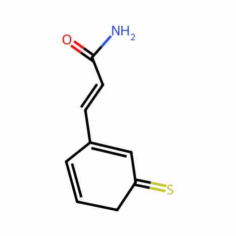 NC(=O)C=CC1=CC(=S)CC=C1